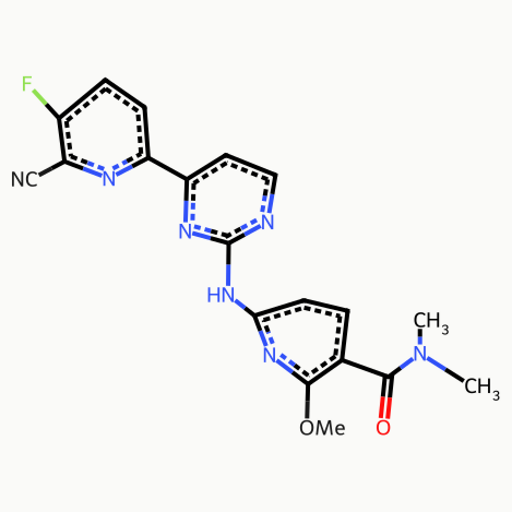 COc1nc(Nc2nccc(-c3ccc(F)c(C#N)n3)n2)ccc1C(=O)N(C)C